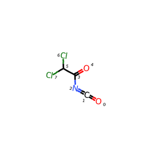 O=C=NC(=O)C(Cl)Cl